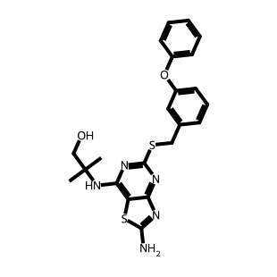 CC(C)(CO)Nc1nc(SCc2cccc(Oc3ccccc3)c2)nc2nc(N)sc12